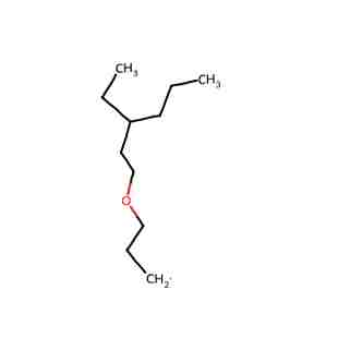 [CH2]CCOCCC(CC)CCC